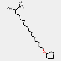 CCCC[SiH2]C([C]=O)CCCCCCCCCCCCCCOC1CC[CH]CC1